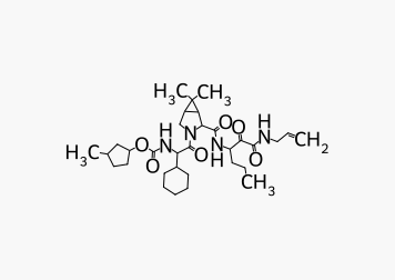 C=CCNC(=O)C(=O)C(CCC)NC(=O)C1C2C(CN1C(=O)C(NC(=O)OC1CCC(C)C1)C1CCCCC1)C2(C)C